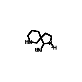 [2H]N1CCC2(CCCNC2)C1C(C)(C)C